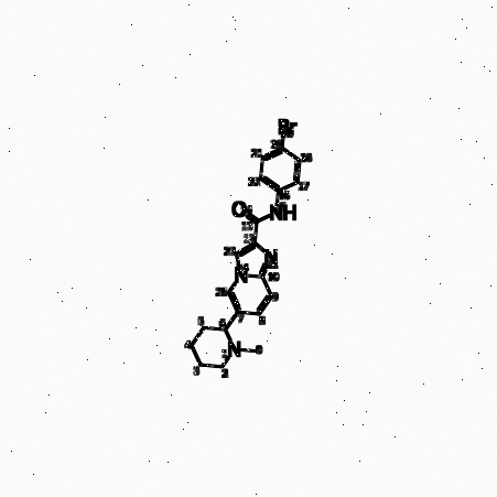 CN1CCCCC1c1ccc2nc(C(=O)Nc3ccc(Br)cc3)cn2c1